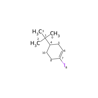 CC(C)(C)C1CC=C(I)CC1